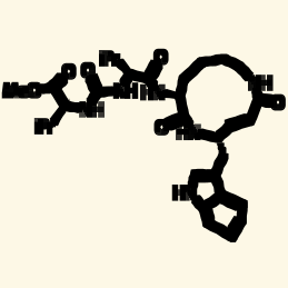 COC(=O)[C@@H](NC(=O)N[C@H](C(=O)N[C@H]1CCCCNC(=O)/C=C/[C@H](Cc2c[nH]c3ccccc23)NC1=O)C(C)C)C(C)C